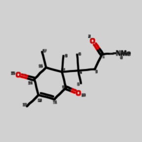 CNC(=O)CC(C)(C)C1(C)C(=O)C=C(C)C(=O)C1C